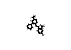 O=C1OC(Cc2ccc(C(F)(F)F)cc2-c2ccccc2)c2ccc(Br)cc21